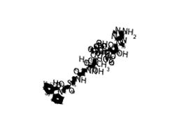 CC(C)(COP(=O)(O)OP(=O)(O)OC[C@H]1O[C@@H](n2cnc3c(N)ncnc32)[C@H](O)[C@@H]1OP(=O)(O)O)[C@@H](O)C(=O)NCCC(=O)NCCSC(=O)C(O)CN(C(=O)c1ccccc1)c1ccccc1